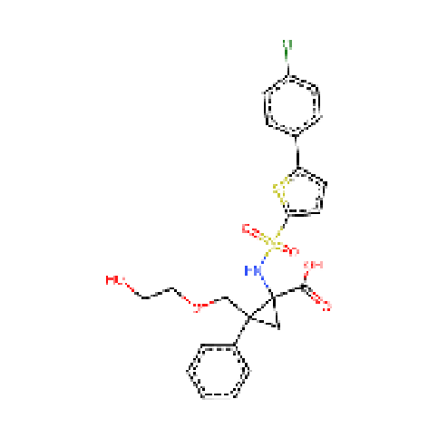 O=C(O)C1(NS(=O)(=O)c2ccc(-c3ccc(Cl)cc3)s2)CC1(COCCO)c1ccccc1